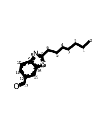 CCCCCCCc1nc2ccc(C=O)cc2s1